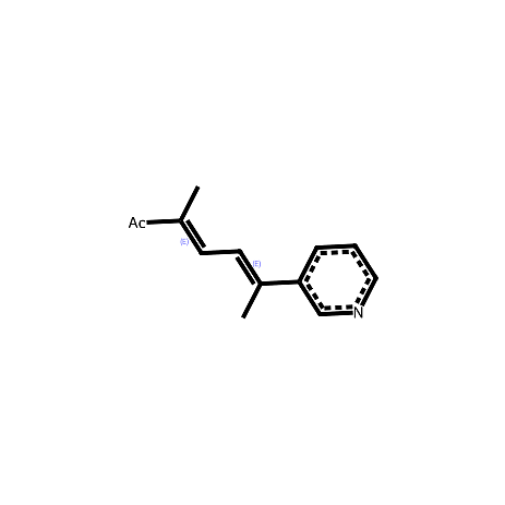 CC(=O)/C(C)=C/C=C(\C)c1cccnc1